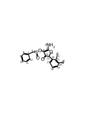 NC1=C(OS(=O)Cc2ccccc2)C(=O)C(c2cccc(F)c2F)O1